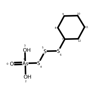 O=[As](O)(O)SSSC1CCCCC1